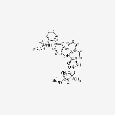 CC(C)NC(=O)Nc1ccccc1-c1ccc(CN2C(=O)[C@H](NC(=O)CC(C)(C)NC(=O)OC(C)(C)C)CCc3ccccc32)cc1